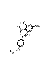 COc1ccc(CNc2nc(N)nc(O)c2[N+](=O)[O-])cc1